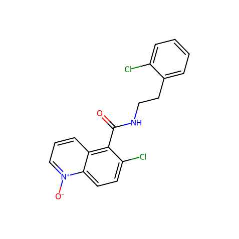 O=C(NCCc1ccccc1Cl)c1c(Cl)ccc2c1ccc[n+]2[O-]